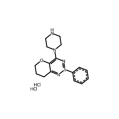 Cl.Cl.c1ccc(S2=NC(N3CCNCC3)=C3OCCCC3=N2)cc1